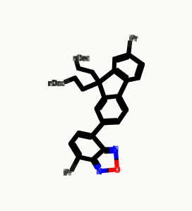 CCCCCCCCCCCCC1(CCCCCCCCCCCC)c2cc(-c3ccc(C(C)C)c4nonc34)ccc2-c2ccc(C(C)C)cc21